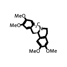 COc1ccc(C[C@@H]2c3cc(OC)c(OC)cc3CCN2C)cc1OC